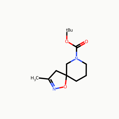 CC1=NOC2(CCCN(C(=O)OC(C)(C)C)C2)C1